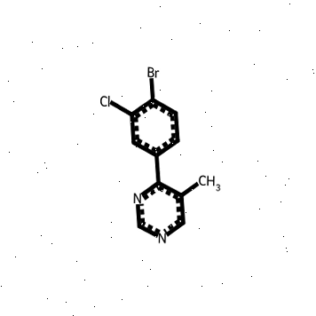 Cc1cncnc1-c1ccc(Br)c(Cl)c1